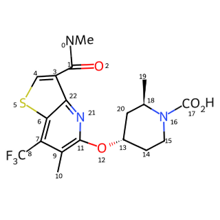 CNC(=O)c1csc2c(C(F)(F)F)c(C)c(O[C@H]3CCN(C(=O)O)[C@H](C)C3)nc12